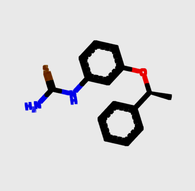 C[C@H](Oc1cccc(NC(N)=S)c1)c1ccccc1